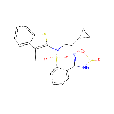 Cc1c(N(CCC2CC2)S(=O)(=O)c2ccccc2C2=NOS(=O)N2)sc2ccccc12